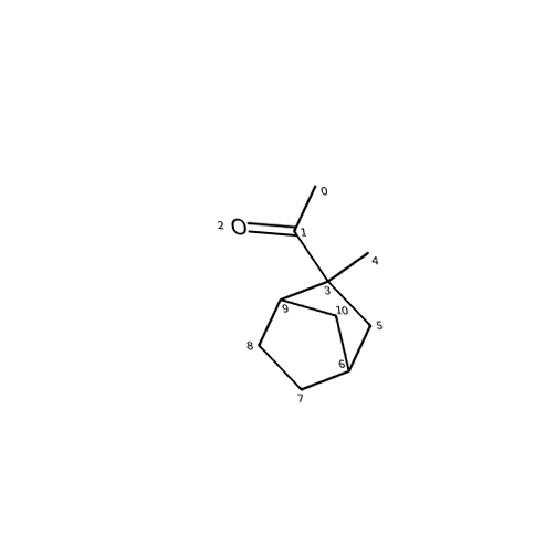 CC(=O)C1(C)CC2CCC1C2